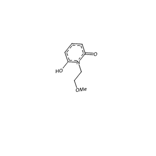 COCCn1c(O)cccc1=O